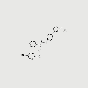 C[C@@H](CNCC(C(=O)Nc1ccc(-c2cnn(CC(F)(F)F)c2)cn1)c1ccccc1)c1ccc(C#N)cc1